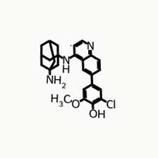 COc1cc(-c2ccc3nc[c]c(NC45CC6CC(CC(N)(C6)C4)C5)c3c2)cc(Cl)c1O